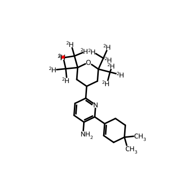 [2H]C([2H])([2H])C1(C([2H])([2H])[2H])CC(c2ccc(N)c(C3=CCC(C)(C)CC3)n2)CC(C([2H])([2H])[2H])(C([2H])([2H])[2H])O1